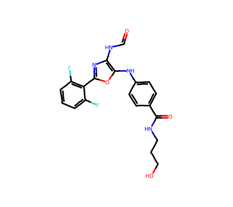 O=CNc1nc(-c2c(F)cccc2F)oc1Nc1ccc(C(=O)NCCCO)cc1